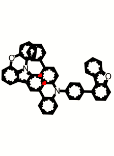 c1ccc(-c2ccc(N(c3ccc(-c4cccc5oc6ccccc6c45)cc3)c3ccccc3-c3ccc4c(c3)c3cccc5c3n4-c3ccccc3O5)cc2)cc1